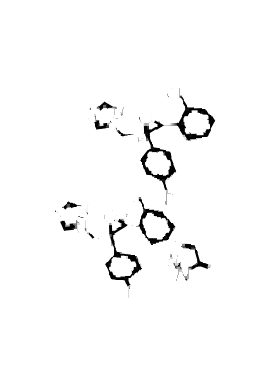 Fc1ccc([C@@]2(Cn3cncn3)O[C@@H]2c2ccccc2Cl)cc1.Fc1ccc([C@]2(Cn3cncn3)O[C@H]2c2ccccc2Cl)cc1.O=C1C=NN=N1